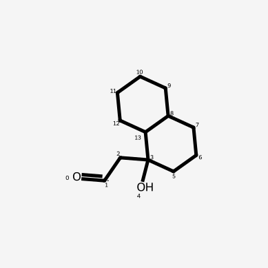 O=[C]CC1(O)CCCC2CCCCC21